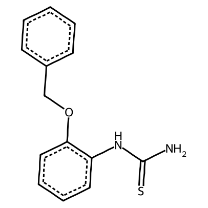 NC(=S)Nc1ccccc1OCc1ccccc1